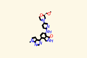 COC[C@@H]1CN(c2ccc(Nc3ccc(-c4ncnc5c4ccn5C)c4c3C(=O)NC4)nc2)CCO1